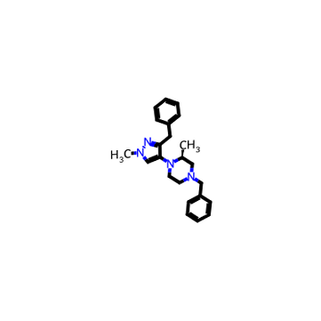 C[C@H]1CN(Cc2ccccc2)CCN1c1cn(C)nc1Cc1ccccc1